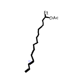 C=C/C=C/CCCCCCCCCC(CC)OC(C)=O